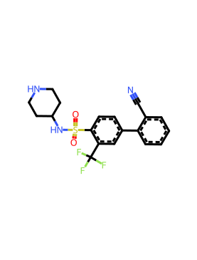 N#Cc1ccccc1-c1ccc(S(=O)(=O)NC2CCNCC2)c(C(F)(F)F)c1